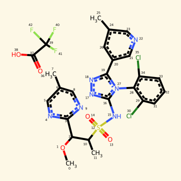 COC(c1ncc(C)cn1)C(C)S(=O)(=O)Nc1nnc(-c2cncc(C)c2)n1-c1c(Cl)cccc1Cl.O=C(O)C(F)(F)F